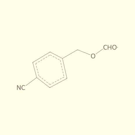 N#Cc1ccc(CO[C]=O)cc1